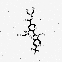 CCS(CC)=NC(=O)c1cnc(-c2nc3cc(C(F)(F)F)ncc3n2C)c(S(=O)(=O)CC)c1